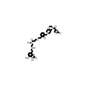 CCC1=NC(C(=O)N2CCOC3(CCN(Cc4cccc(CCOCCC(=O)N(CC)CCNCCc5ccc(O)c6[nH]c(=O)sc56)c4Cl)CC3)C2)CS1